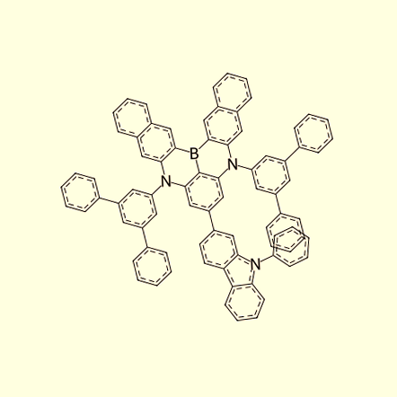 c1ccc(-c2cc(-c3ccccc3)cc(N3c4cc5ccccc5cc4B4c5cc6ccccc6cc5N(c5cc(-c6ccccc6)cc(-c6ccccc6)c5)c5cc(-c6ccc7c8ccccc8n(-c8ccccc8)c7c6)cc3c54)c2)cc1